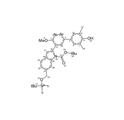 COc1nnc(-c2cc(C)c(O)c(C)c2)cc1-c1cc2ccc(CO[Si](C)(C)C(C)(C)C)cc2n1C(=O)OC(C)(C)C